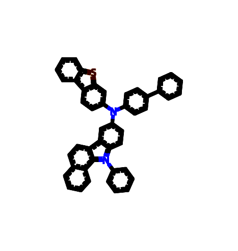 c1ccc(-c2ccc(N(c3ccc4c(c3)sc3ccccc34)c3ccc4c(c3)c3ccc5ccccc5c3n4-c3ccccc3)cc2)cc1